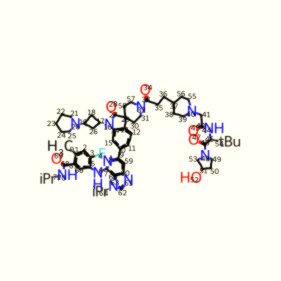 Cc1cc(F)c(Nc2nc(-c3ccc4c(c3)N([C@H]3C[C@@H](N5CCCCC5)C3)C(=O)C43CCN(C(=O)CCC4CCN(CC(=O)N[C@H](C(=O)N5CC[C@@H](O)C5)C(C)(C)C)CC4)CC3)cc3ncn(C(C)C)c23)cc1C(=O)NC(C)C